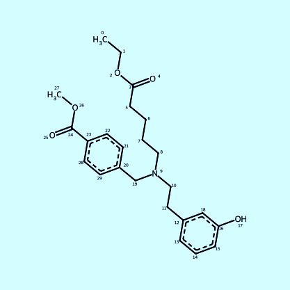 CCOC(=O)CCCCN(CCc1cccc(O)c1)Cc1ccc(C(=O)OC)cc1